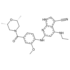 CCNc1cc(Nc2ccc(C(=O)N3C[C@@H](C)O[C@@H](C)C3)cc2OC)nc2[nH]cc(C#N)c12